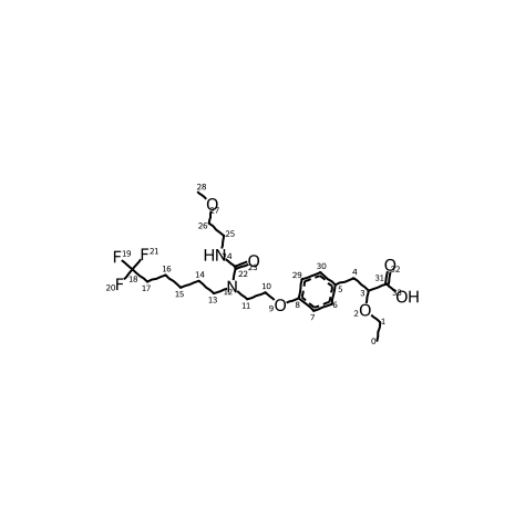 CCOC(Cc1ccc(OCCN(CCCCCC(F)(F)F)C(=O)NCCOC)cc1)C(=O)O